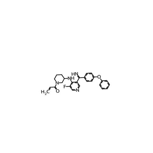 C=CC(=O)N1CCCC(Nc2c(F)cncc2C(=N)c2ccc(Oc3ccccc3)cc2)C1